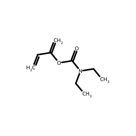 C=CC(=C)OC(=O)N(CC)CC